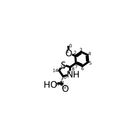 COc1ccccc1C1N[C@H](C(=O)O)CS1